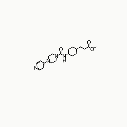 COC(=O)CC[C@H]1CC[C@H](NC(=O)N2CCN(c3ccncc3)CC2)CC1